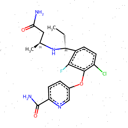 CC[C@@H](N[C@@H](C)CC(N)=O)c1ccc(Cl)c(Oc2ccc(C(N)=O)nc2)c1F